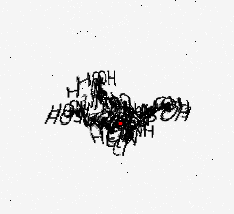 CCc1c(Cl)nc(C(=O)N[C@@H]2CCN(c3nnc([C@](C)(O)CO)s3)C[C@@H]2OC)n1COP(=O)(OCn1c(C(=O)N[C@@H]2CCN(c3nnc([C@](C)(O)CO)s3)C[C@@H]2OC)nc(Cl)c1CC)OCn1c(C(=O)N[C@@H]2CCN(c3nnc([C@](C)(O)CO)s3)C[C@@H]2OC)nc(Cl)c1CC